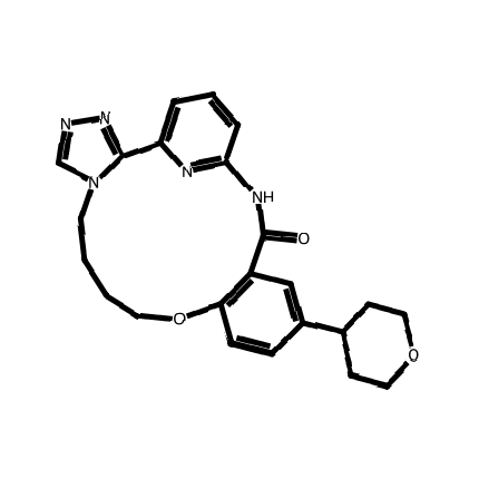 O=C1Nc2cccc(n2)-c2nncn2CCCCOc2ccc(C3CCOCC3)cc21